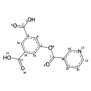 O=C(O)c1cc(OC(=O)c2cccnc2)cc(C(=O)O)c1